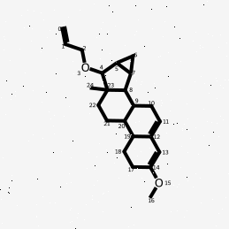 C=CCOC1C2CC2C2C3CC=C4C=C(OC)CCC4C3CCC12C